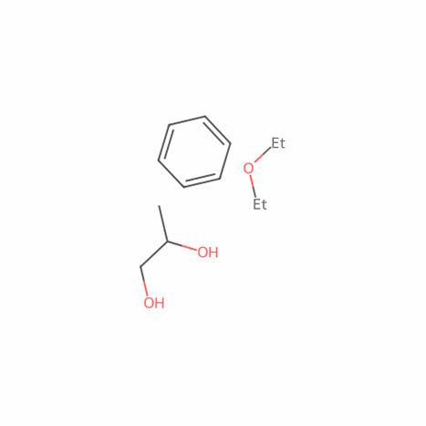 CC(O)CO.CCOCC.c1ccccc1